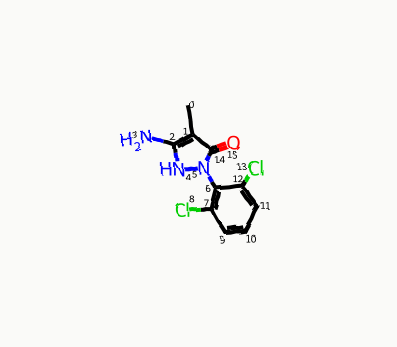 Cc1c(N)[nH]n(-c2c(Cl)cccc2Cl)c1=O